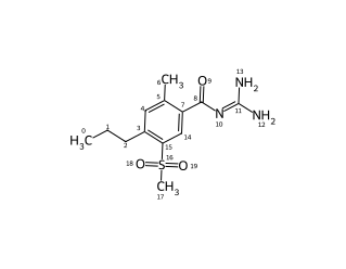 CCCc1cc(C)c(C(=O)N=C(N)N)cc1S(C)(=O)=O